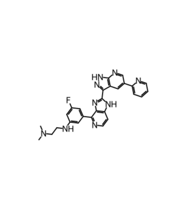 CN(C)CCNc1cc(F)cc(-c2nccc3[nH]c(-c4n[nH]c5ncc(-c6ccccn6)cc45)nc23)c1